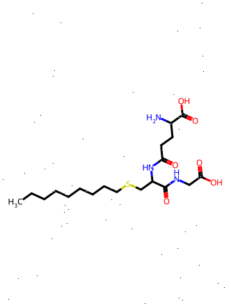 CCCCCCCCCSCC(NC(=O)CCC(N)C(=O)O)C(=O)NCC(=O)O